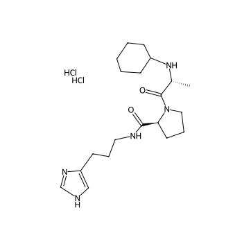 C[C@@H](NC1CCCCC1)C(=O)N1CCC[C@H]1C(=O)NCCCc1c[nH]cn1.Cl.Cl